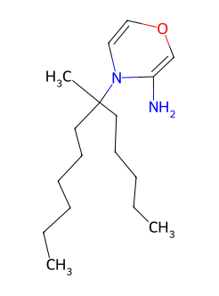 CCCCCCC(C)(CCCCC)N1C=COC=C1N